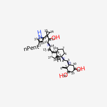 C=C1/C(=C\C=C2/CCC[C@]3(C)[C@@H]([C@H](C)/C=C/[C@H](O)C4(c5cc(CCCCC)c[nH]5)CC4)CC[C@@H]23)C[C@@H](O)C[C@@H]1O